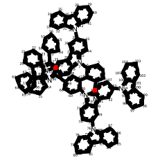 N#Cc1cccc(-n2c3ccc(-n4c5ccccc5c5ccccc54)cc3c3cc(-n4c5ccccc5c5ccccc54)ccc32)c1-c1cc(-c2nc(-c3ccccc3)nc(-c3ccccc3)n2)ccc1-n1c2ccc(-n3c4ccccc4c4ccccc43)cc2c2cc(-n3c4ccccc4c4ccccc43)ccc21